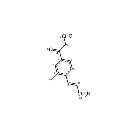 Cc1cc(C(=O)CC=O)ccc1C=CC(=O)O